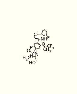 C[C@H](Oc1cc(-n2nc(CO)n(C)c2=O)c(F)cc1C(=O)Nc1c(F)cccc1Cl)C(F)(F)F